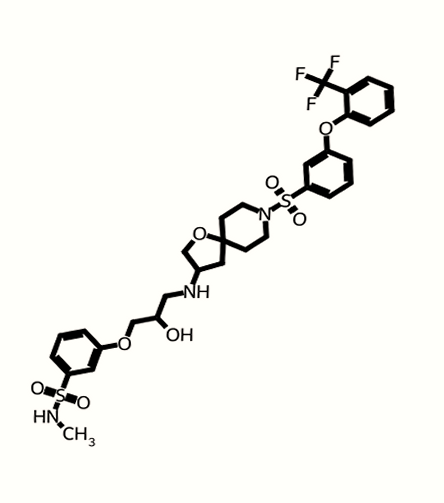 CNS(=O)(=O)c1cccc(OCC(O)CNC2COC3(CCN(S(=O)(=O)c4cccc(Oc5ccccc5C(F)(F)F)c4)CC3)C2)c1